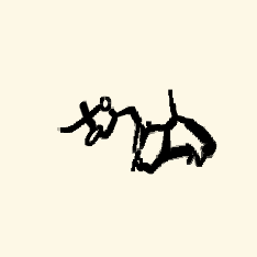 CC1(C)OC[C@H](Cn2ncc3nccc(I)c32)O1